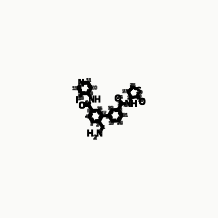 NCc1ccc(C(=O)Nc2ccncc2F)cc1-c1cccc(C(=O)NC2CCSC2=O)c1